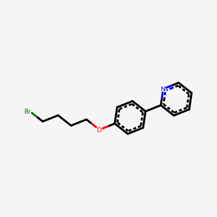 BrCCCCOc1ccc(-c2ccccn2)cc1